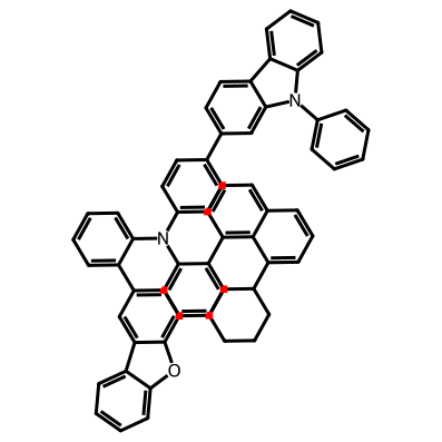 c1ccc(-n2c3ccccc3c3ccc(-c4ccc(N(c5ccccc5-c5ccc6oc7ccccc7c6c5)c5ccccc5-c5cccc6cccc(C7CCCCC7)c56)cc4)cc32)cc1